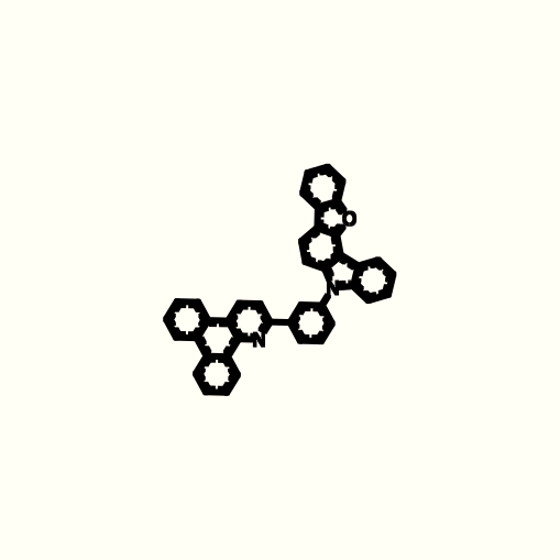 c1cc(-c2ccc3c4ccccc4c4ccccc4c3n2)cc(-n2c3ccccc3c3c4oc5ccccc5c4ccc32)c1